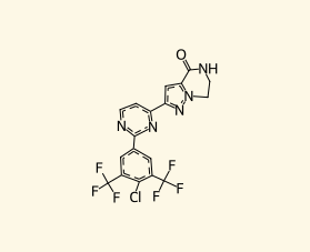 O=C1NCCn2nc(-c3ccnc(-c4cc(C(F)(F)F)c(Cl)c(C(F)(F)F)c4)n3)cc21